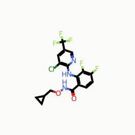 O=C(NOCC1CC1)c1ccc(F)c(F)c1Nc1ncc(C(F)(F)F)cc1Cl